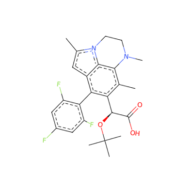 Cc1c([C@H](OC(C)(C)C)C(=O)O)c(-c2c(F)cc(F)cc2F)c2cc(C)n3c2c1N(C)CC3